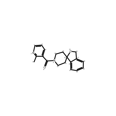 Cc1ncccc1C(=O)N1CCC2(CC1)OCc1ccccc12